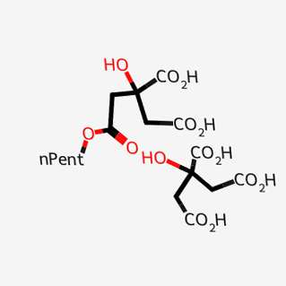 CCCCCOC(=O)CC(O)(CC(=O)O)C(=O)O.O=C(O)CC(O)(CC(=O)O)C(=O)O